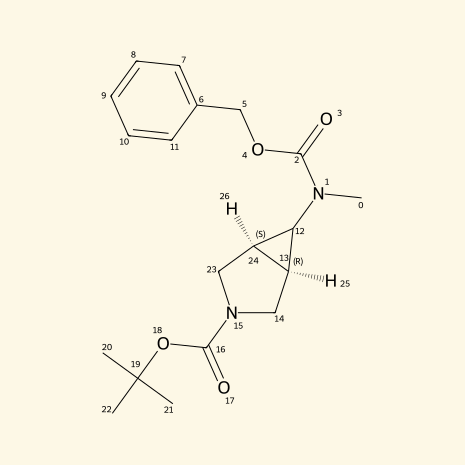 CN(C(=O)OCc1ccccc1)C1[C@H]2CN(C(=O)OC(C)(C)C)C[C@@H]12